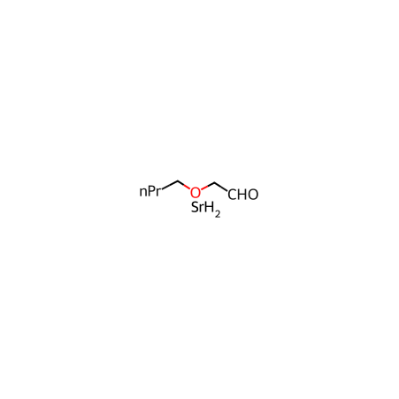 CCCCOCC=O.[SrH2]